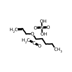 C=C=O.C=CCOCCCCC.O=S(=O)(O)O